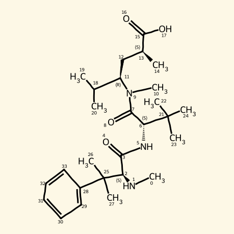 CN[C@H](C(=O)N[C@H](C(=O)N(C)[C@H](C[C@H](C)C(=O)O)C(C)C)C(C)(C)C)C(C)(C)c1ccccc1